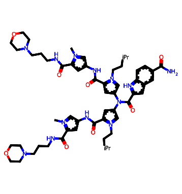 CC(C)CCn1cc(N(C(=O)c2cc3cc(C(N)=O)ccc3[nH]2)c2cc(C(=O)Nc3cc(C(=O)NCCCN4CCOCC4)n(C)c3)n(CCC(C)C)c2)cc1C(=O)Nc1cc(C(=O)NCCCN2CCOCC2)n(C)c1